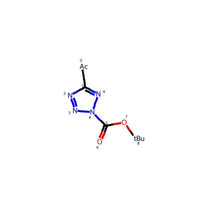 CC(=O)c1nnn(C(=O)OC(C)(C)C)n1